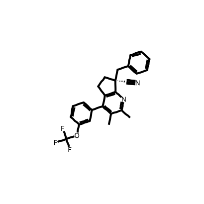 Cc1nc2c(c(-c3cccc(OC(F)(F)F)c3)c1C)CC[C@@]2(C#N)Cc1ccccc1